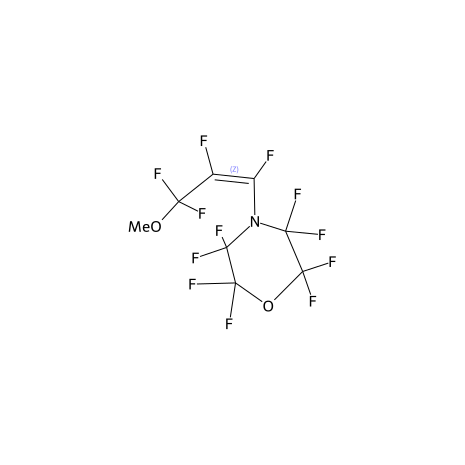 COC(F)(F)/C(F)=C(/F)N1C(F)(F)C(F)(F)OC(F)(F)C1(F)F